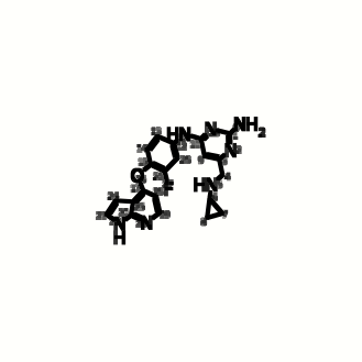 Nc1nc(CNC2CC2)cc(Nc2ccc(Oc3ccnc4[nH]ccc34)c(F)c2)n1